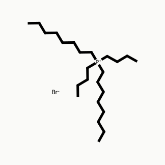 CCCCCCCC[P+](CCCC)(CCCC)CCCCCCCC.[Br-]